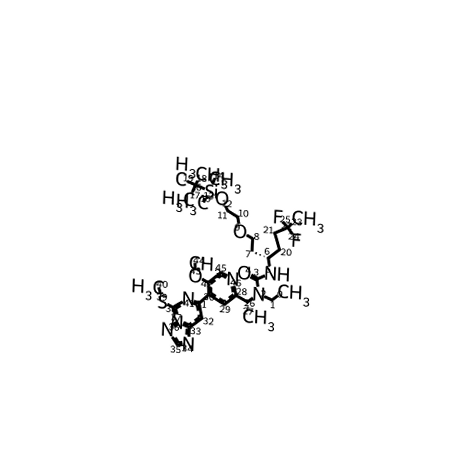 CCN(C(=O)N[C@H](CCOCCO[Si](C)(C)C(C)(C)C)CCC(C)(F)F)[C@H](C)c1cc(-c2cc3ncnn3c(SC)n2)c(OC)cn1